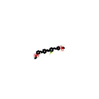 C=CC(=O)Oc1ccc(/C=C/c2ccc(/C=C/c3ccc(/C=C/c4cccc(OC(=O)C=C)c4)cc3)c(F)c2)cc1